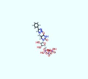 O=c1[nH]c(=O)n([C@@H]2O[C@H](COP(=O)(O)OP(=O)(O)OP(=O)(O)O)C(O)[C@@H]2O)cc1Cn1cc(-c2ccccc2)nn1